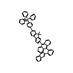 CC1(C)c2cc(-c3ccc([Si](c4ccccc4)(c4ccccc4)c4ccccc4)cc3)ccc2-c2ccc(-c3c4ccccc4c(-c4ccccc4-c4ccc5ccccc5c4)c4ccccc34)cc21